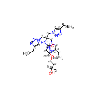 BCc1cn(CC(Cn2cc(CB)nn2)(Cn2cc(CB)nn2)NC(=O)CC(C)(C)OCCC(C)(C)O)nn1